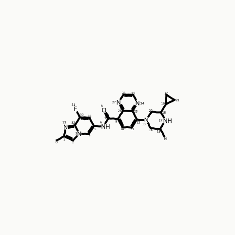 Cc1cn2cc(NC(=O)c3ccc(N4CC(C)NC(C5CC5)C4)c4nccnc34)cc(F)c2n1